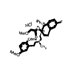 COCC(=O)O[C@@]1(CCN(C)CCc2cc(OC)ccc2OC)CCc2cc(F)ccc2[C@H]1C(C)C.Cl